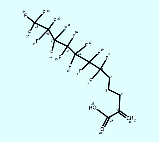 C=C(CCCC(F)(F)C(F)(F)C(F)(F)C(F)(F)C(F)(F)C(F)(F)C(F)(F)F)C(=O)O